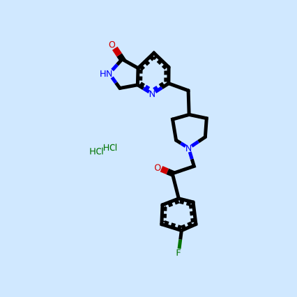 Cl.Cl.O=C(CN1CCC(Cc2ccc3c(n2)CNC3=O)CC1)c1ccc(F)cc1